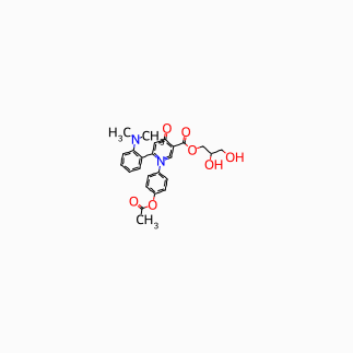 CC(=O)Oc1ccc(-n2cc(C(=O)OCC(O)CO)c(=O)cc2-c2ccccc2N(C)C)cc1